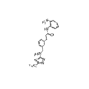 Nc1ccccc1NC(=O)/C=C/c1cccc(CNc2nnc(C(F)(F)F)s2)c1